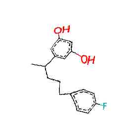 CC(CCCc1ccc(F)cc1)c1cc(O)cc(O)c1